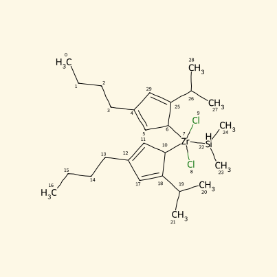 CCCCC1=C[CH]([Zr]([Cl])([Cl])([CH]2C=C(CCCC)C=C2C(C)C)[SiH](C)C)C(C(C)C)=C1